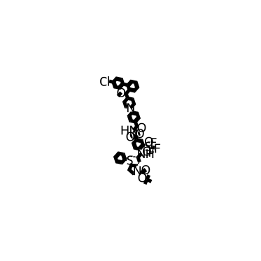 CO[C@@H](c1ccccc1-c1ccc(Cl)cc1)C1CCN(c2ccc(C(=O)NS(=O)(=O)c3ccc(N[C@@H](CSc4ccccc4)C[C@H]4CCCN4C(=O)OC(C)(C)C)c(S(=O)(=O)C(F)(F)F)c3)cc2)CC1